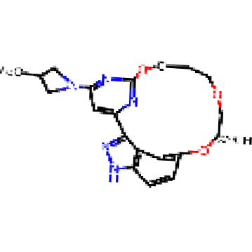 COC1CN(c2cc3nc(n2)OCCCOC[C@H](C)Oc2ccc4[nH]nc-3c4c2)C1